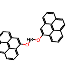 B(Oc1cc2cccc3ccc4cccc1c4c32)Oc1cc2cccc3ccc4cccc1c4c32